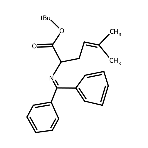 CC(C)=CCC(N=C(c1ccccc1)c1ccccc1)C(=O)OC(C)(C)C